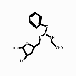 CC1CC(COP(NCC=O)Oc2ccccc2)OC1N